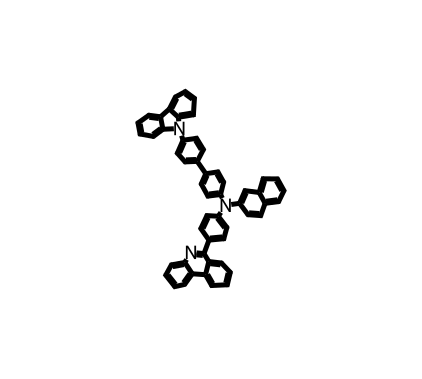 c1ccc2cc(N(c3ccc(-c4ccc(-n5c6ccccc6c6ccccc65)cc4)cc3)c3ccc(-c4nc5ccccc5c5ccccc45)cc3)ccc2c1